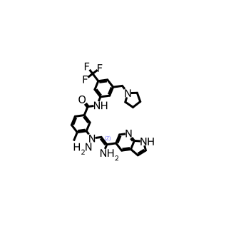 Cc1ccc(C(=O)Nc2cc(CN3CCCC3)cc(C(F)(F)F)c2)cc1N(N)/C=C(\N)c1cnc2[nH]ccc2c1